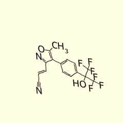 Cc1onc(C=CC#N)c1-c1ccc(C(O)(C(F)(F)F)C(F)(F)F)cc1